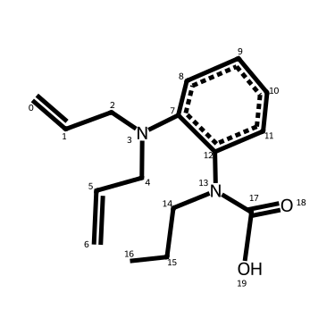 C=CCN(CC=C)c1ccccc1N(CCC)C(=O)O